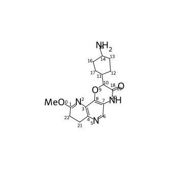 COC1=Nc2c(ncc3c2OC(C2CCC(N)CC2)C(=O)N3)CC1